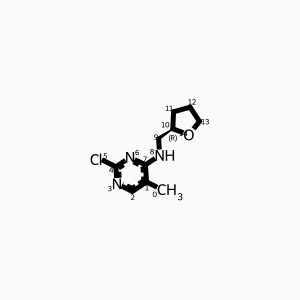 Cc1cnc(Cl)nc1NC[C@H]1CCCO1